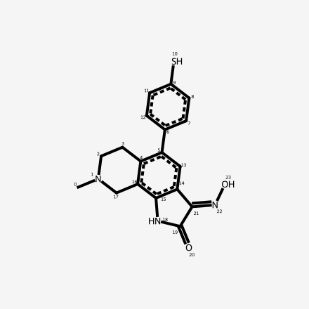 CN1CCc2c(-c3ccc(S)cc3)cc3c(c2C1)NC(=O)/C3=N/O